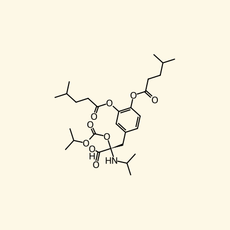 CC(C)CCC(=O)Oc1ccc(C[C@](NC(C)C)(OC(=O)OC(C)C)C(=O)O)cc1OC(=O)CCC(C)C